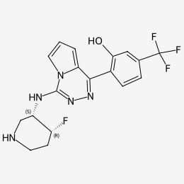 Oc1cc(C(F)(F)F)ccc1-c1nnc(N[C@H]2CNCC[C@H]2F)n2cccc12